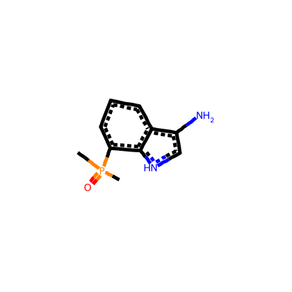 CP(C)(=O)c1cccc2c(N)c[nH]c12